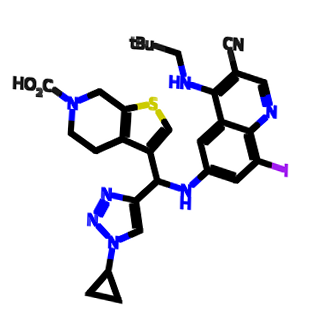 CC(C)(C)CNc1c(C#N)cnc2c(I)cc(NC(c3cn(C4CC4)nn3)c3csc4c3CCN(C(=O)O)C4)cc12